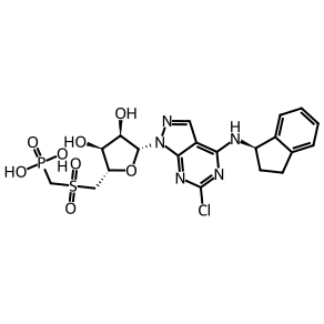 O=P(O)(O)CS(=O)(=O)C[C@H]1O[C@@H](n2ncc3c(N[C@@H]4CCc5ccccc54)nc(Cl)nc32)[C@H](O)[C@@H]1O